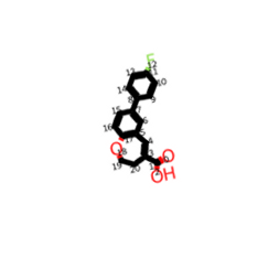 O=C(O)C1=Cc2cc(-c3ccc(F)cc3)ccc2OCC1